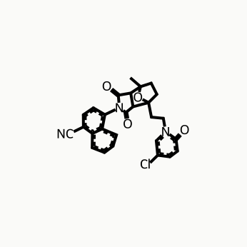 CC12CCC(CCn3cc(Cl)ccc3=O)(O1)C1C(=O)N(c3ccc(C#N)c4ccccc34)C(=O)C12